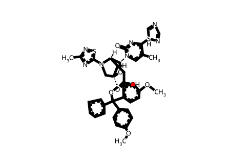 COc1ccc(C(OC[C@@]23CN(c4nc(C)ns4)[C@@H]([C@H](n4cc(C)c([SH]5C=NC=N5)nc4=O)O2)[C@@H]3CC(=O)O)(c2ccccc2)c2ccc(OC)cc2)cc1